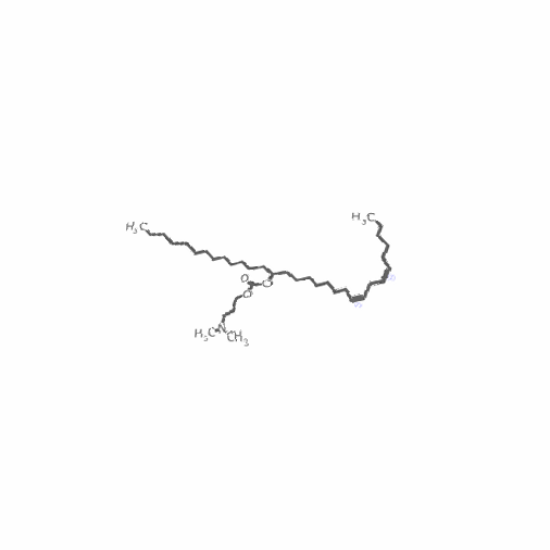 CCCCC/C=C\C/C=C\CCCCCCCC(CCCCCCCCCCCCC)OC(=O)OCCCN(C)C